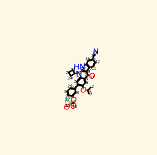 CC(C)Oc1cc2c(=O)c3c4ccc(C#N)cc4[nH]c3n(C3CCC3)c2cc1-c1cccc(OS(=O)(=O)F)c1